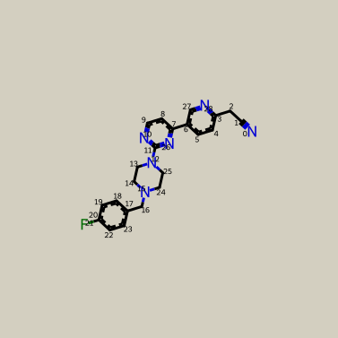 N#CCc1ccc(-c2ccnc(N3CCN(Cc4ccc(F)cc4)CC3)n2)cn1